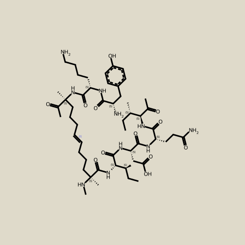 CC[C@H](C)[C@H](NC(=O)[C@H](CCC(N)=O)NC(=O)[C@H](CC(=O)O)NC(=O)[C@@H](NC(=O)[C@](C)(CCC/C=C/CCC[C@](C)(NC(=O)[C@H](CCCCN)NC(=O)[C@@H](N)Cc1ccc(O)cc1)C(C)=O)NC)[C@@H](C)CC)C(C)=O